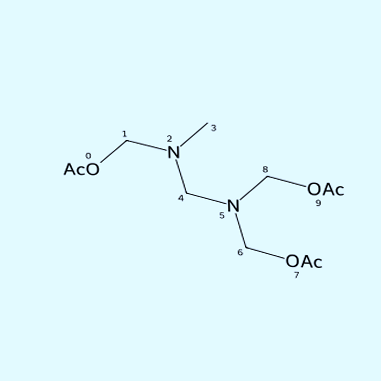 CC(=O)OCN(C)CN(COC(C)=O)COC(C)=O